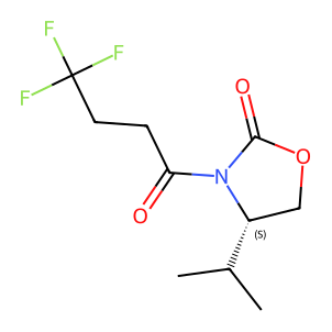 CC(C)[C@H]1COC(=O)N1C(=O)CCC(F)(F)F